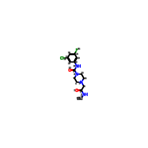 CC(C)(C)NC(=O)CN1CCN(C(=O)Nc2cc(F)cc(Cl)c2)CC1